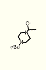 CCCCN1CCN(C(C)[O])CC1